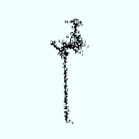 CCCCCCCC[C@@H](C(=O)N[C@@H](CC(C)C)C(=O)NC(C)(C)C(=O)N[C@@H](CC(C)C)C(=O)N[C@@H](CC(C)C)C(=O)NC(C)(C)C(=O)NC(C)(C)C(=O)NCCC(=O)N[C@@H](C)CN(C)C)N(C=O)[C@@H]1CCCN1C(=O)OCCOCCOCCOCCOCCOCCOCCOCCOCCOCCOCCOCCC